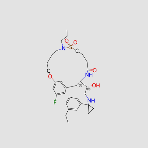 CCCN1CCCCOc2cc(F)cc(c2)C[C@@H]([C@H](O)CNC2(c3cccc(CC)c3)CC2)NC(=O)CCCS1(=O)=O